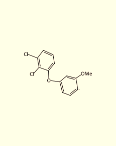 COc1[c]ccc(Oc2cccc(Cl)c2Cl)c1